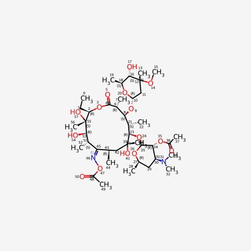 CC[C@H]1OC(=O)[C@H](C)[C@@H](O[C@H]2C[C@@](C)(OC)[C@@H](O)[C@H](C)O2)[C@H](C)[C@@H](O[C@@H]2O[C@H](C)C[C@H](N(C)C)[C@H]2OC(C)=O)[C@](C)(O)C[C@@H](C)/C(=N\OC(C)=O)[C@H](C)[C@@H](O)[C@]1(C)O